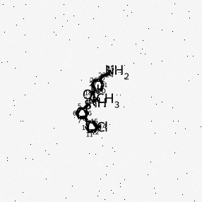 CC(NSc1cccc(-c2cccc(Cl)c2)c1)C(=O)N1CCC(CCN)CC1